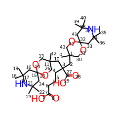 CC1(CC(CCCC(=O)O)(CC2(C)COC3(CC(C)(C)NC(C)(C)C3)OC2)C(=O)O)COC2(CC(C)(C)NC(C)(C)C2)OC1